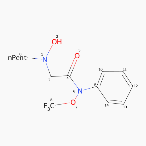 CCCCCN(O)CC(=O)N(OC(F)(F)F)c1ccccc1